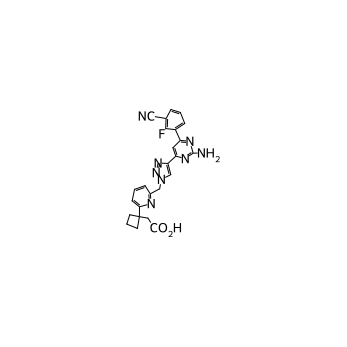 N#Cc1cccc(-c2cc(-c3cn(Cc4cccc(C5(CC(=O)O)CCC5)n4)nn3)nc(N)n2)c1F